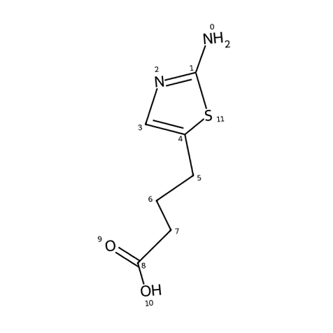 Nc1ncc(CCCC(=O)O)s1